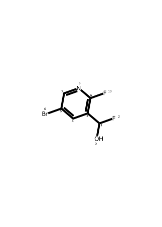 OC(F)c1cc(Br)cnc1F